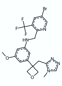 COc1cc(NCc2ncc(Br)cc2C(F)(F)F)cc(C2(Cc3nncn3C)COC2)c1